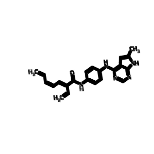 C=C/C=C\C=C(/C=C)C(=O)Nc1ccc(Nc2ncnc3[nH]c(C)cc23)cc1